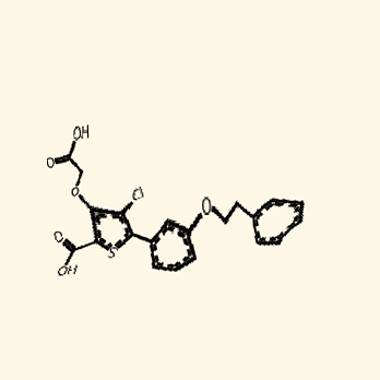 O=C(O)COc1c(C(=O)O)sc(-c2cccc(OCCc3ccccc3)c2)c1Cl